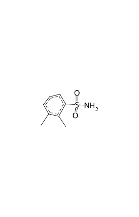 Cc1cccc(S(N)(=O)=O)c1C